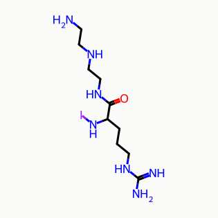 N=C(N)NCCCC(NI)C(=O)NCCNCCN